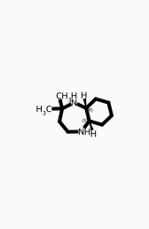 CC1(C)CCN[C@H]2CCCC[C@H]2N1